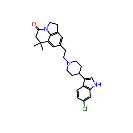 CC1(C)CC(=O)N2CCc3cc(CCN4CCC(c5c[nH]c6cc(Cl)ccc56)CC4)cc1c32